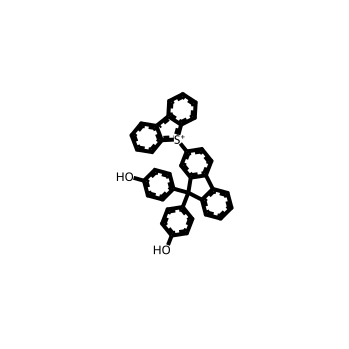 Oc1ccc(C2(c3ccc(O)cc3)c3ccccc3-c3ccc(-[s+]4c5ccccc5c5ccccc54)cc32)cc1